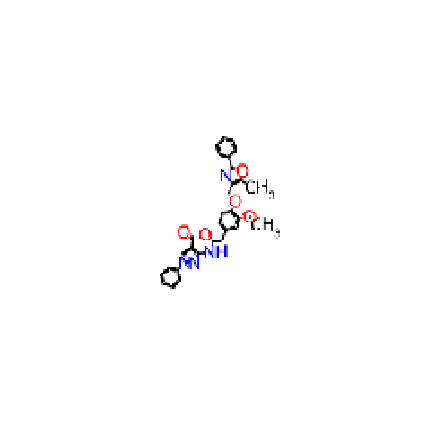 COc1cc(CC(=O)Nc2nn(-c3ccccc3)cc2C=O)ccc1OCc1nc(-c2ccccc2)oc1C